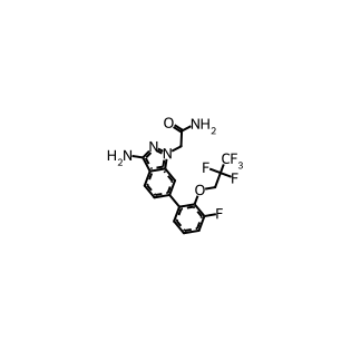 NC(=O)Cn1nc(N)c2ccc(-c3cccc(F)c3OCC(F)(F)C(F)(F)F)cc21